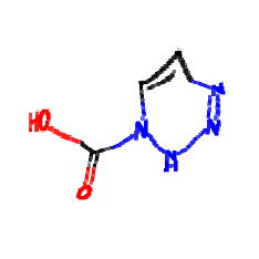 O=C(O)N1C=CN=NN1